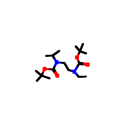 CCN(CCN(C(=O)OC(C)(C)C)C(C)C)C(=O)OC(C)(C)C